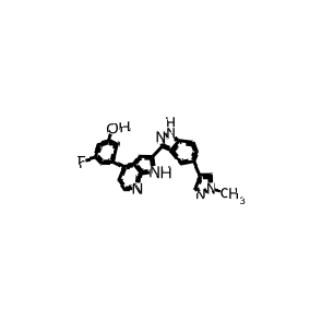 Cn1cc(-c2ccc3[nH]nc(-c4cc5c(-c6cc(O)cc(F)c6)ccnc5[nH]4)c3c2)cn1